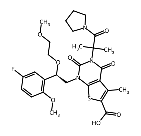 COCCO[C@@H](Cn1c(=O)n(C(C)(C)C(=O)N2CCCC2)c(=O)c2c(C)c(C(=O)O)sc21)c1cc(F)ccc1OC